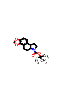 CC(C)(C)OC(=O)N1CCC2c3ccc4c(c3CCC21)OCO4